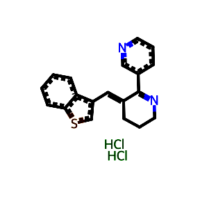 C(=C1CCCN=C1c1cccnc1)c1csc2ccccc12.Cl.Cl